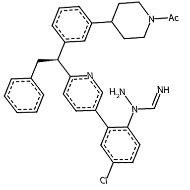 CC(=O)N1CCC(c2cccc([C@H](Cc3ccccc3)c3ccc(-c4cc(Cl)ccc4N(N)C=N)cn3)c2)CC1